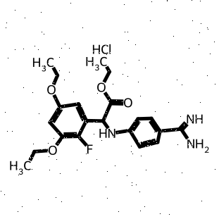 CCOC(=O)C(Nc1ccc(C(=N)N)cc1)c1cc(OCC)cc(OCC)c1F.Cl